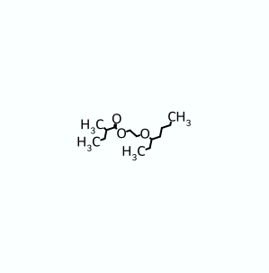 CCCCC(CC)OCCOC(=O)C(C)CC